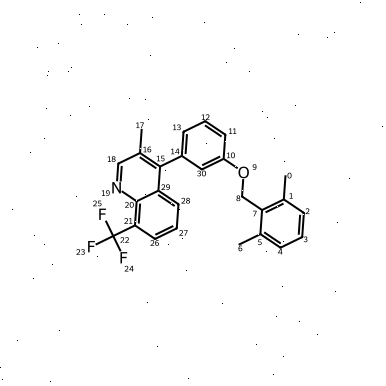 Cc1cccc(C)c1COc1cccc(-c2c(C)cnc3c(C(F)(F)F)cccc23)c1